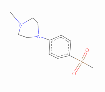 CN1CCN(c2ccc(S(C)(=O)=O)cc2)CC1